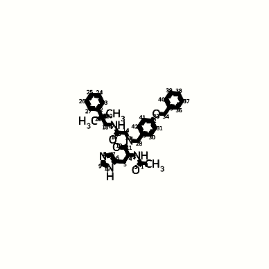 CC(=O)NC(Cc1cnc[nH]1)C(=O)N(CC(=O)NCC(C)(C)c1ccccc1)Cc1ccc(OCc2ccccc2)cc1